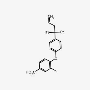 C=CCC(CC)(CC)c1ccc(Oc2ccc(C(=O)O)cc2F)cc1